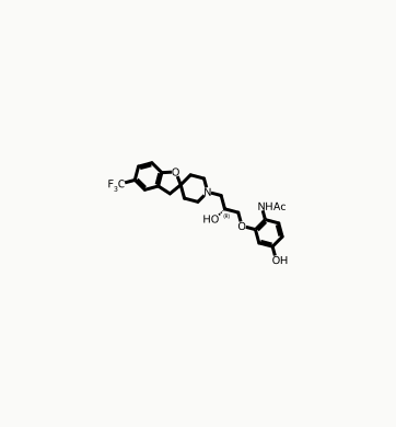 CC(=O)Nc1ccc(O)cc1OC[C@H](O)CN1CCC2(CC1)Cc1cc(C(F)(F)F)ccc1O2